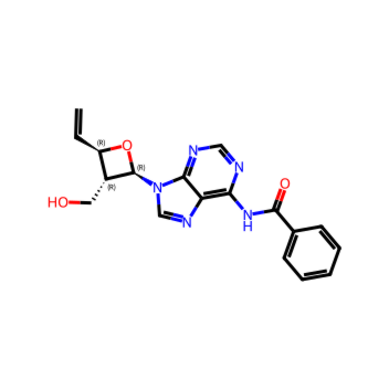 C=C[C@H]1O[C@@H](n2cnc3c(NC(=O)c4ccccc4)ncnc32)[C@@H]1CO